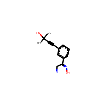 CCCC(O)(C#Cc1cccc(C(CN)=NO)c1)CCC